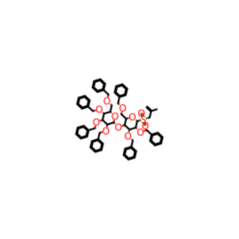 C=C(C)CS(=O)(=O)C1OC(COCc2ccccc2)C(OC2OC(COCc3ccccc3)C(OCc3ccccc3)C(OCc3ccccc3)C2OCc2ccccc2)C(OCc2ccccc2)C1OCc1ccccc1